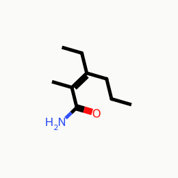 CCCC(CC)=C(C)C(N)=O